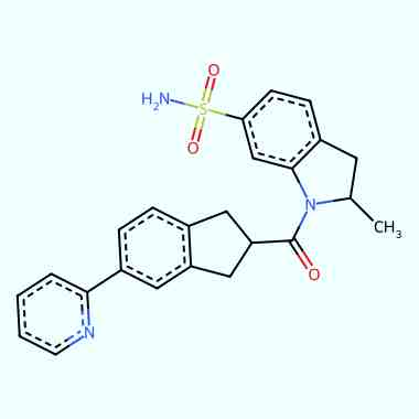 CC1Cc2ccc(S(N)(=O)=O)cc2N1C(=O)C1Cc2ccc(-c3ccccn3)cc2C1